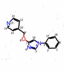 c1ccc(-n2cnc(OCc3ccncc3)c2)cc1